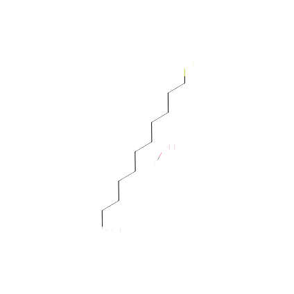 CCCCCCCCCCCCCCCCCCS.CCO